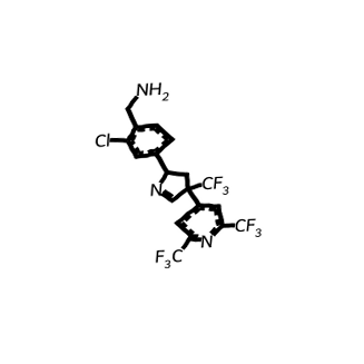 NCc1ccc(C2CC(c3cc(C(F)(F)F)nc(C(F)(F)F)c3)(C(F)(F)F)C=N2)cc1Cl